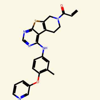 C=CC(=O)N1CCc2c(sc3ncnc(Nc4ccc(Oc5cccnc5)c(C)c4)c23)C1